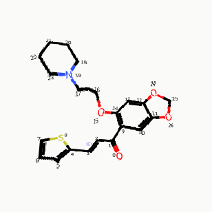 O=C(/C=C/c1cccs1)c1cc2c(cc1OCCN1CCCCC1)OCO2